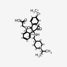 COc1ccc(C(=O)C(NCC2CCN(C(C)C)CC2)(c2ccccc2OCC(=O)O)C2CO2)cc1